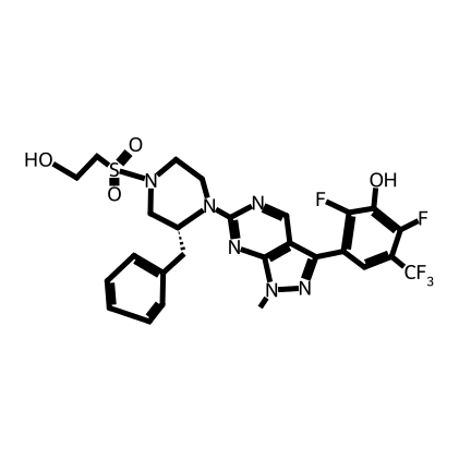 Cn1nc(-c2cc(C(F)(F)F)c(F)c(O)c2F)c2cnc(N3CCN(S(=O)(=O)CCO)C[C@H]3Cc3ccccc3)nc21